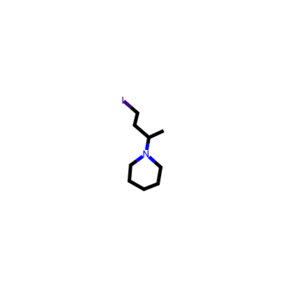 CC(CCI)N1CCCCC1